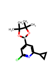 CC1(C)OB(c2cc(Cl)nc(C3CC3)c2)OC1(C)C